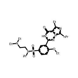 CCCc1nc(CC)c2c(=O)[nH]c(-c3cc(S(=O)(=O)N(CCN(CC)CC)C(C)C)ccc3OCC)nn12